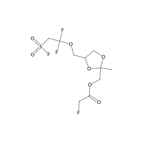 CC1(COC(=O)CF)OCC(COC(F)(F)CS(=O)(=O)F)O1